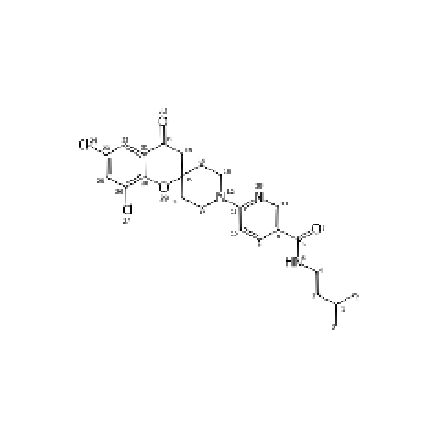 CC(C)CCNC(=O)c1ccc(N2CCC3(CC2)CC(=O)c2cc(Cl)cc(Cl)c2O3)nc1